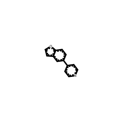 [c]1cc2cc(-c3ccncc3)ccc2o1